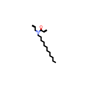 C=CCN(CCCCCCCCCCCC)C(=O)C=C